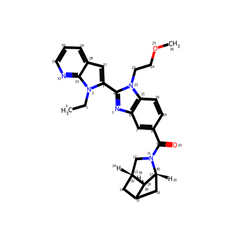 CCn1c(-c2nc3cc(C(=O)N4C[C@H]5CC6C[C@@H]4[C@H]65)ccc3n2CCOC)cc2cccnc21